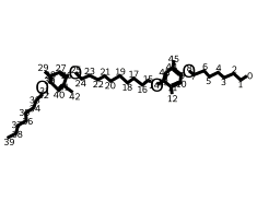 CCCCCCCCOc1cc(C)c(OCCCCCCCCCCOc2cc(C)c(OCCCCCCCC)cc2C)cc1C